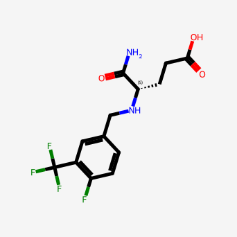 NC(=O)[C@H](CCC(=O)O)NCc1ccc(F)c(C(F)(F)F)c1